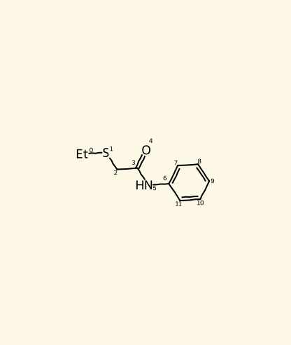 CCSCC(=O)Nc1ccccc1